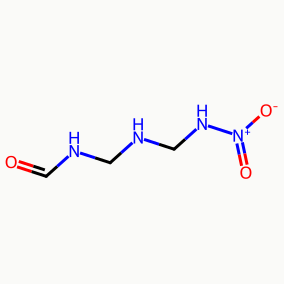 O=CNCNCN[N+](=O)[O-]